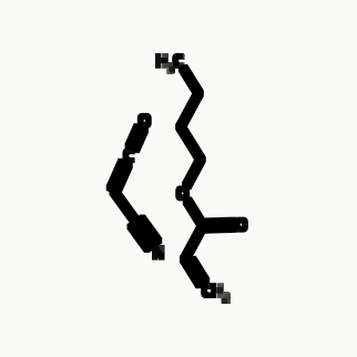 C=CC(=O)OCCCC.N#CC=C=O